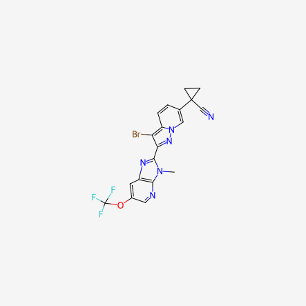 Cn1c(-c2nn3cc(C4(C#N)CC4)ccc3c2Br)nc2cc(OC(F)(F)F)cnc21